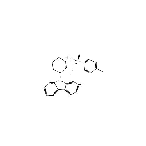 Cc1ccc(S(=O)(=O)N[C@@H]2CCC[C@H](n3c4ccccc4c4ccc(F)cc43)[C@H]2O)cc1